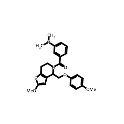 COc1ccc(OCC2c3cc(OC)sc3CCN2C(=O)c2cccc(N(C)C)c2)cc1